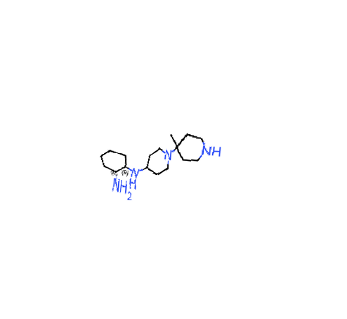 CC1(N2CCC(N[C@@H]3CCCC[C@H]3N)CC2)CCNCC1